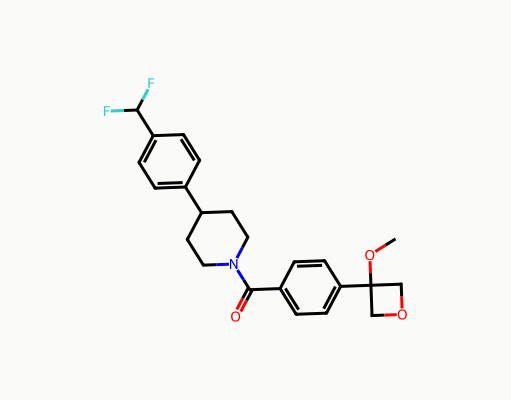 COC1(c2ccc(C(=O)N3CCC(c4ccc(C(F)F)cc4)CC3)cc2)COC1